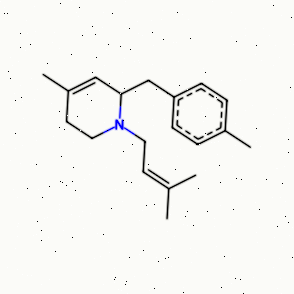 CC(C)=CCN1CCC(C)=CC1Cc1ccc(C)cc1